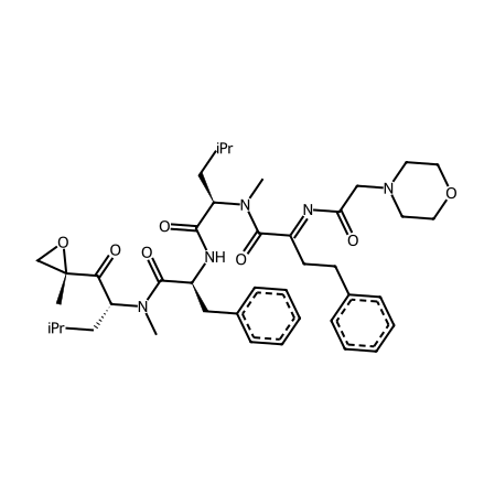 CC(C)C[C@H](C(=O)N[C@@H](Cc1ccccc1)C(=O)N(C)[C@H](CC(C)C)C(=O)[C@]1(C)CO1)N(C)C(=O)/C(CCc1ccccc1)=N/C(=O)CN1CCOCC1